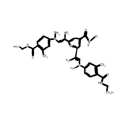 CCNC(=O)c1cc(/C(N)=C/N(N)c2ccc(C(=O)NCC(=O)O)c(C(F)(F)F)c2)nc(/C(N)=C/N(N)c2ccc(C(=O)NCC(=O)O)c(C(F)(F)F)c2)c1